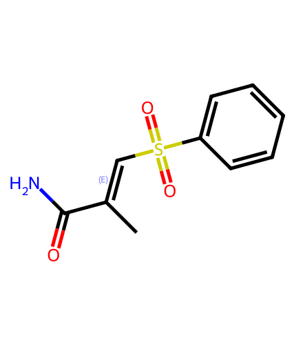 C/C(=C\S(=O)(=O)c1ccccc1)C(N)=O